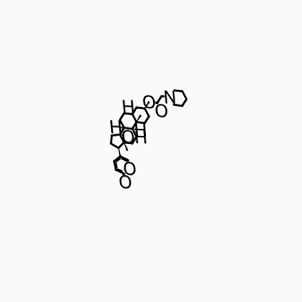 C[C@]12CC[C@H](OC(=O)CN3CCCCC3)C[C@H]1CC[C@@H]1[C@@H]2CC[C@]2(C)[C@@H](c3ccc(=O)oc3)CC[C@]12O